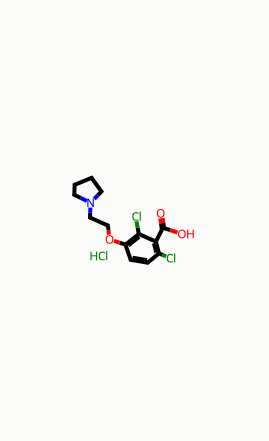 Cl.O=C(O)c1c(Cl)ccc(OCCN2CCCC2)c1Cl